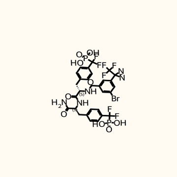 NC(=O)[C@H](Cc1ccc(C(F)(F)P(=O)(O)O)cc1)NC(=O)[C@H](Cc1ccc(C(F)(F)P(=O)(O)O)cc1)NC(=O)c1cc(Br)cc(C2(C(F)(F)F)N=N2)c1